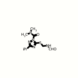 CC(C)c1nc(SCNC=O)n(C(=O)N(C)C)n1